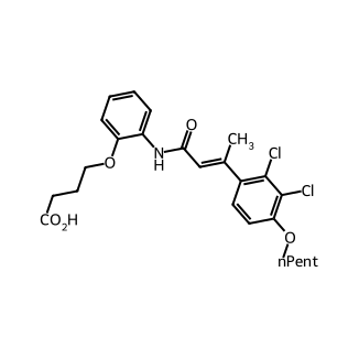 CCCCCOc1ccc(C(C)=CC(=O)Nc2ccccc2OCCCC(=O)O)c(Cl)c1Cl